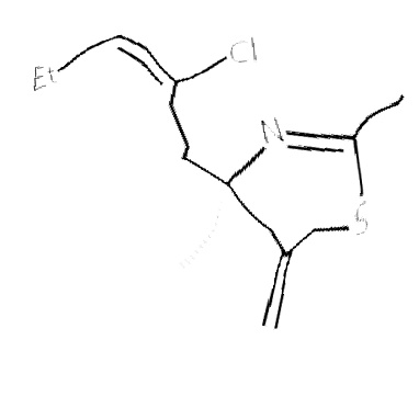 C=C1SC(C)=N[C@]1(C)C/C(Cl)=C\CC